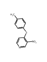 Cc1ccc(Sc2ccncc2[N+](=O)[O-])cc1